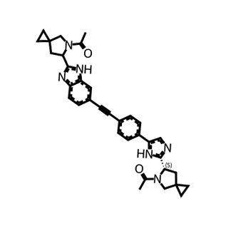 CC(=O)N1CC2(CC2)CC1c1nc2ccc(C#Cc3ccc(-c4cnc([C@@H]5CC6(CC6)CN5C(C)=O)[nH]4)cc3)cc2[nH]1